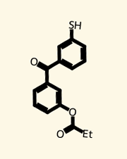 CCC(=O)Oc1cccc(C(=O)c2cccc(S)c2)c1